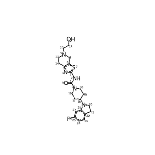 O=C(Nc1nc2c(s1)CN(CCO)CC2)N1CCC(N2CCc3ccc(F)cc32)CC1